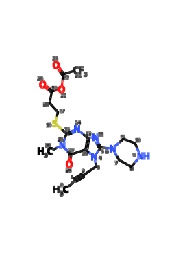 CC#CCn1c(N2CCNCC2)nc2nc(SCCC(=O)OC(=O)C(F)(F)F)n(C)c(=O)c21